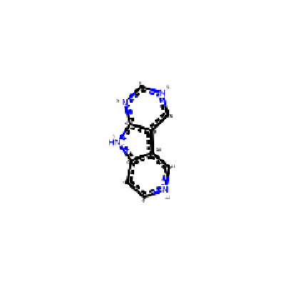 c1cc2[nH]c3ncncc3c2cn1